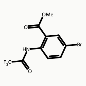 COC(=O)c1cc(Br)ccc1NC(=O)C(F)(F)F